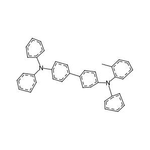 Cc1ccccc1N(c1ccccc1)c1ccc(-c2ccc(N(c3ccccc3)c3ccccc3)cc2)cc1